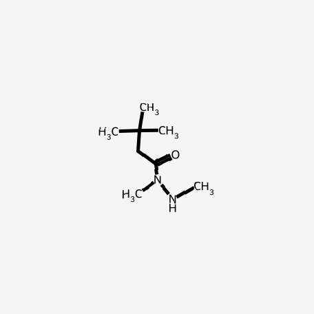 CNN(C)C(=O)CC(C)(C)C